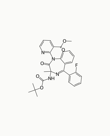 COC(=O)c1cccnc1N1C(=O)C(C)(NC(=O)OC(C)(C)C)N=C(c2ccccc2F)c2ccccc21